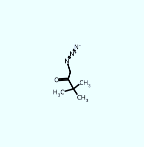 CC(C)(C)C(=O)CN=[N+]=[N-]